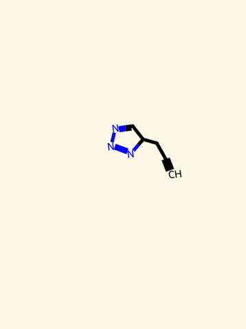 C#CCC1C=NN=N1